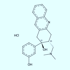 CN(C)C[C@H]1Cc2nc3ccccc3cc2C[C@@]1(O)c1cccc(O)c1.Cl